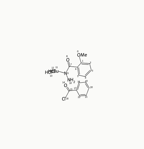 COc1ccccc1C(=O)N(N)C(C)(C)C.Cl.Cl.O=C(Cl)c1ccccc1